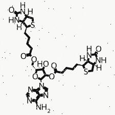 Nc1ncnc2c1ncn2[C@@H]1O[C@H](COC(=O)CCCC[C@@H]2SC[C@@H]3NC(=O)N[C@@H]32)C(O)C1OC(=O)CCCC[C@@H]1SC[C@@H]2NC(=O)N[C@@H]21